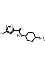 CCc1cc(C(=O)NC2CCC(N)CC2)on1